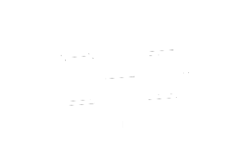 C=C/C(=N\NC)c1ccccc1P